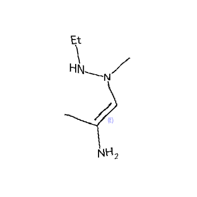 CCNN(C)/C=C(\C)N